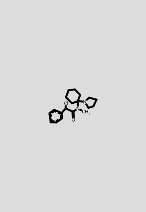 CN(C(=O)C(Cl)c1ccccc1)C1(N2CCCC2)CCCCC1